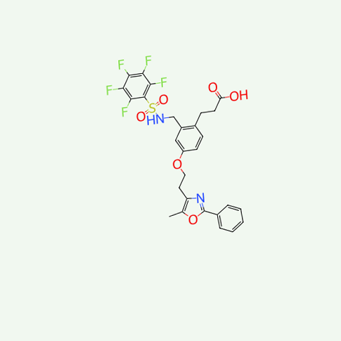 Cc1oc(-c2ccccc2)nc1CCOc1ccc(CCC(=O)O)c(CNS(=O)(=O)c2c(F)c(F)c(F)c(F)c2F)c1